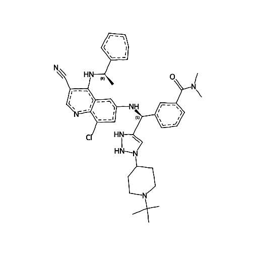 C[C@@H](Nc1c(C#N)cnc2c(Cl)cc(N[C@H](C3=CN(C4CCN(C(C)(C)C)CC4)NN3)c3cccc(C(=O)N(C)C)c3)cc12)c1ccccc1